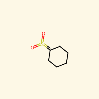 O=S(=O)=C1[CH]CCCC1